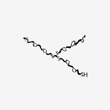 CSCCOCCOCCSC(SCCOCCOCCS)SCCOCCOCCSC